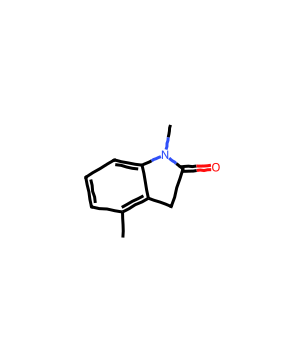 Cc1cccc2c1CC(=O)N2C